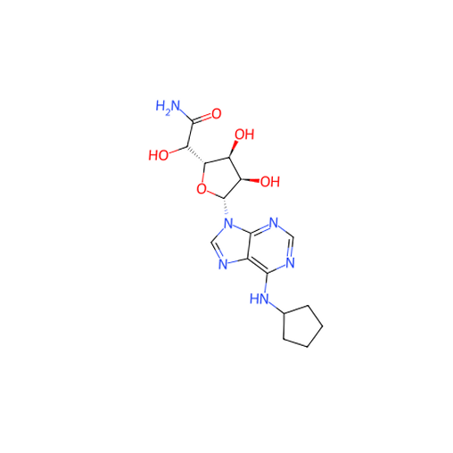 NC(=O)C(O)[C@H]1O[C@@H](n2cnc3c(NC4CCCC4)ncnc32)[C@H](O)[C@@H]1O